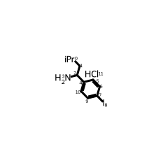 CC(C)CC(N)c1ccc(I)cc1.Cl